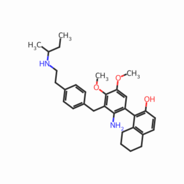 CCC(C)NCCc1ccc(Cc2c(N)c(-c3c(O)ccc4c3CCCC4)cc(OC)c2OC)cc1